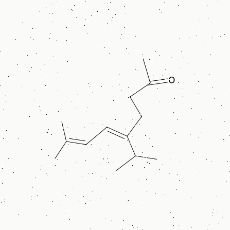 CC(=O)CCC(=CC=C(C)C)C(C)C